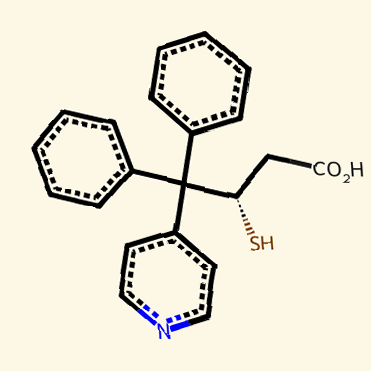 O=C(O)C[C@H](S)C(c1ccccc1)(c1ccccc1)c1ccncc1